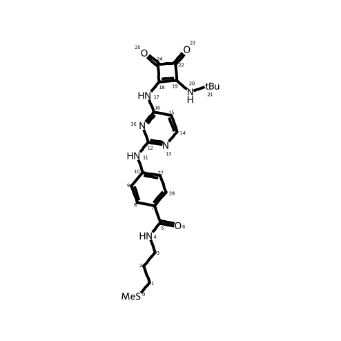 CSCCCNC(=O)c1ccc(Nc2nccc(Nc3c(NC(C)(C)C)c(=O)c3=O)n2)cc1